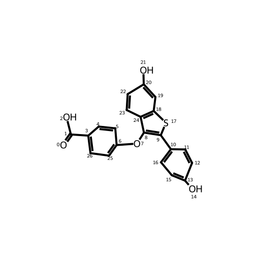 O=C(O)c1ccc(Oc2c(-c3ccc(O)cc3)sc3cc(O)ccc23)cc1